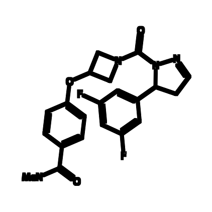 CNC(=O)c1ccc(OC2CN(C(=O)N3N=CCC3c3cc(F)cc(F)c3)C2)cc1